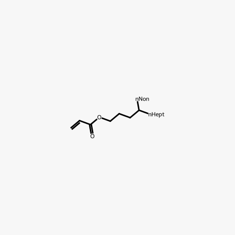 C=CC(=O)OCCCC(CCCCCCC)CCCCCCCCC